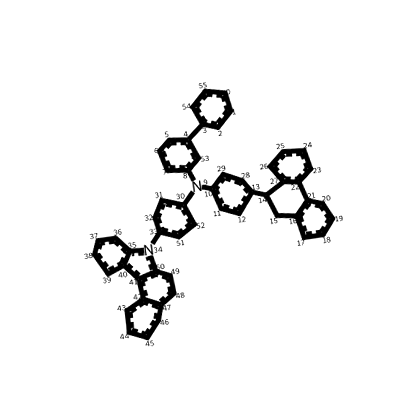 c1ccc(-c2cccc(N(c3ccc(C4Cc5ccccc5-c5ccccc54)cc3)c3ccc(-n4c5ccccc5c5c6ccccc6ccc54)cc3)c2)cc1